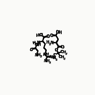 CC(C)(C)OC(=O)C(N)CC(=O)O.N=C(N)NCCCC(N)C(=O)O.NCC(=O)O